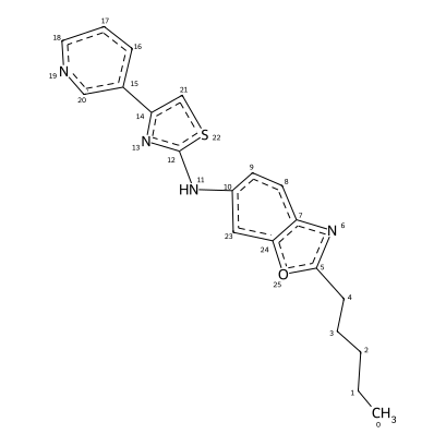 CCCCCc1nc2ccc(Nc3nc(-c4cccnc4)cs3)cc2o1